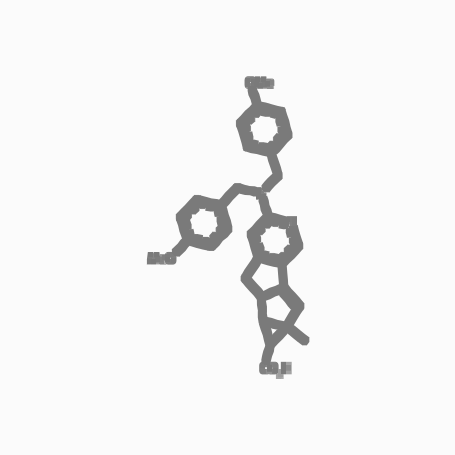 COc1ccc(CN(Cc2ccc(OC)cc2)c2cc3c(cn2)C2=CC4(C)C(C(=O)O)C4C2C3)cc1